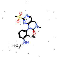 CN1Cc2cnc(S(C)(=O)=O)nc2N(c2cccc(NC(=O)O)c2C(C)(C)C)C1=O